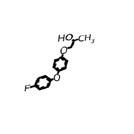 CC(O)COc1ccc(Oc2ccc(F)cc2)cc1